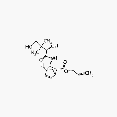 C=CCOC(=O)[C@H]1C2C=C[C@@H](C2)[C@H]1NC(=O)[C@H](O)C(C)(C)CO